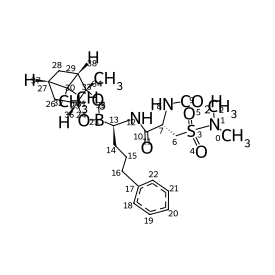 CN(C)S(=O)(=O)C[C@@H](NC(=O)O)C(=O)N[C@@H](CCCc1ccccc1)B1O[C@@H]2C[C@@H]3C[C@@H](C3(C)C)[C@]2(C)O1